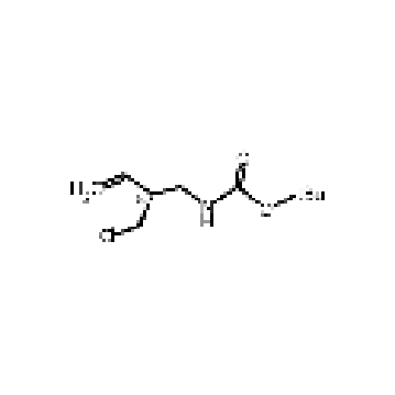 C=C[C@H](CCl)CNC(=O)OC(C)(C)C